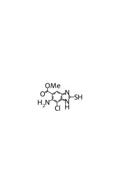 COC(=O)c1cc2nc(S)[nH]c2c(Cl)c1N